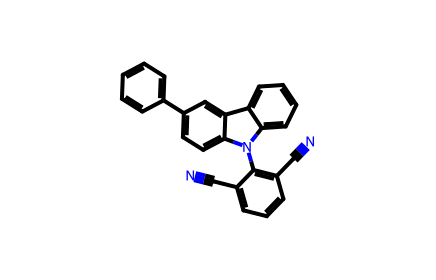 N#Cc1cccc(C#N)c1-n1c2ccccc2c2cc(-c3ccccc3)ccc21